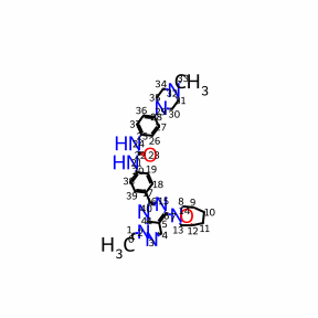 CCn1ncc2c(N3CC4CCC(C3)O4)nc(-c3ccc(NC(=O)Nc4ccc(N5CCN(C)CC5)cc4)cc3)nc21